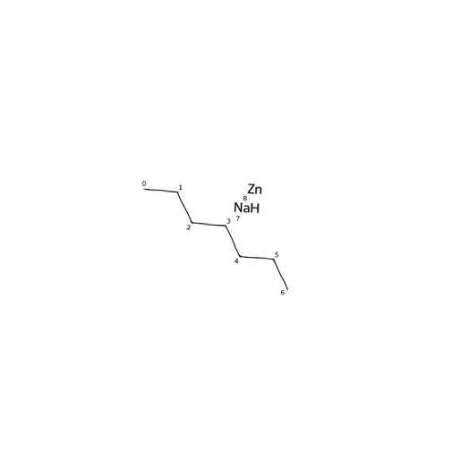 CCCCCCC.[NaH].[Zn]